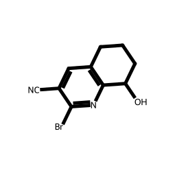 N#Cc1cc2c(nc1Br)C(O)CCC2